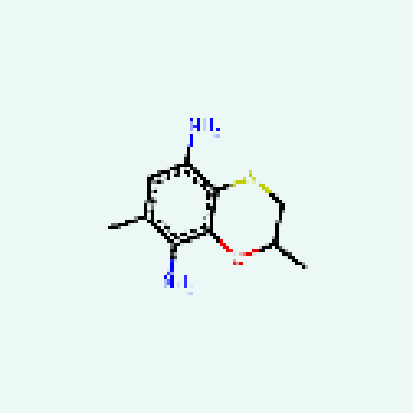 Cc1cc(N)c2c(c1N)OC(C)CS2